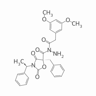 COc1cc(CC(=O)N(N)C(=O)[C@@]2(Cc3ccccc3)OC(=O)N([C@H](C)c3ccccc3)C2=O)cc(OC)c1